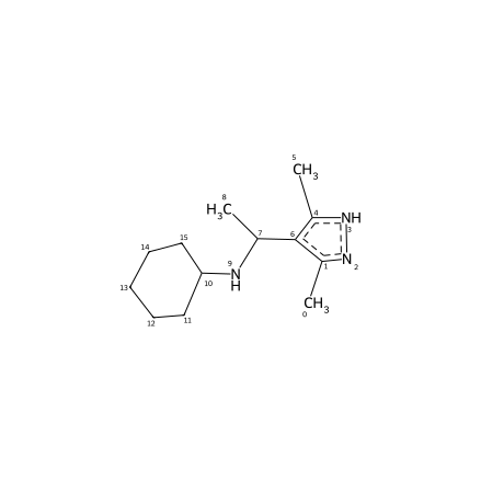 Cc1n[nH]c(C)c1C(C)NC1CCCCC1